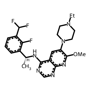 CCN1CCN(c2cc3c(N[C@H](C)c4cccc(C(F)F)c4F)ncnc3nc2OC)CC1